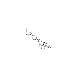 CCCC1CCC(C2CCC(C3CCC(c4cc5c(c(F)c4C(F)F)OC(C)CC5)CC3)CC2)CC1